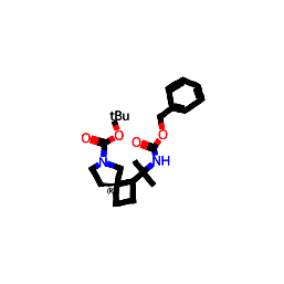 CC(C)(C)OC(=O)N1CC[C@@]2(CCC2C(C)(C)NC(=O)OCc2ccccc2)C1